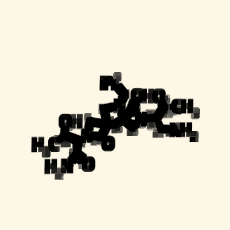 CC(C)CN1CC2(CN([C@H](C(N)=O)[C@@H](C)O)C2=O)CC12CN([C@H](CN)[C@@H](C)O)C2=O